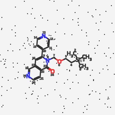 C[Si](C)(C)CCOCn1c(-c2ccncc2)cc2cnccc2c1=O